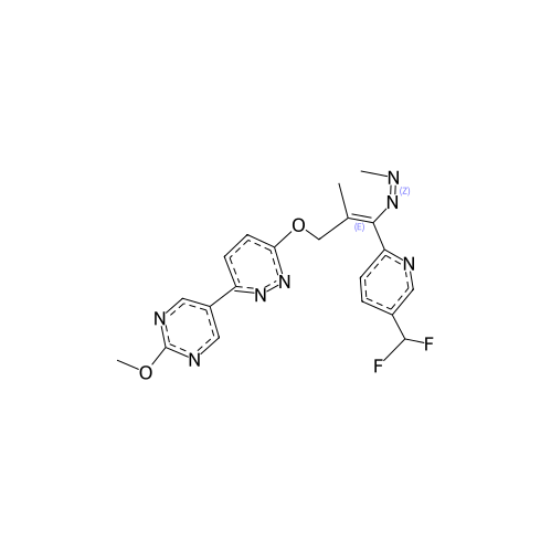 C/N=N\C(=C(/C)COc1ccc(-c2cnc(OC)nc2)nn1)c1ccc(C(F)F)cn1